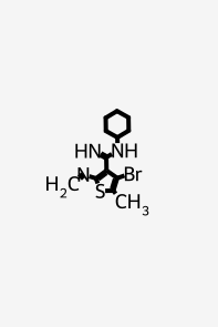 C=Nc1sc(C)c(Br)c1C(=N)NC1CCCCC1